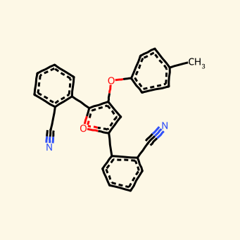 Cc1ccc(Oc2cc(-c3ccccc3C#N)oc2-c2ccccc2C#N)cc1